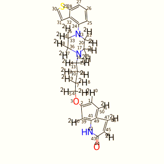 [2H]c1c(OC([2H])([2H])C([2H])([2H])C([2H])([2H])C([2H])([2H])N2C([2H])([2H])C([2H])([2H])N(c3cccc4sccc34)C([2H])([2H])C2([2H])[2H])c([2H])c2[nH]c(=O)c([2H])c([2H])c2c1[2H]